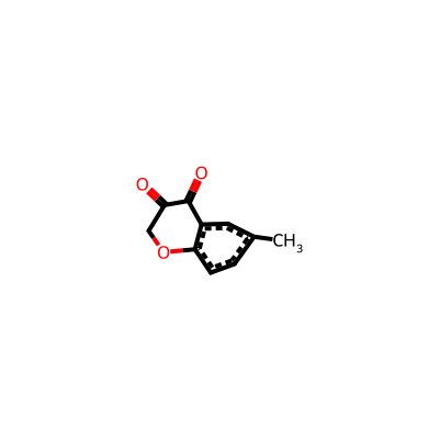 Cc1ccc2c(c1)C(=O)C(=O)CO2